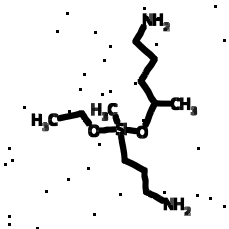 CCO[Si](C)(CCCN)OC(C)CCCN